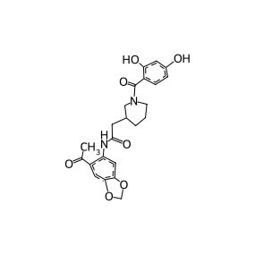 CC(=O)c1cc2c(cc1NC(=O)CC1CCCN(C(=O)c3ccc(O)cc3O)C1)OCO2